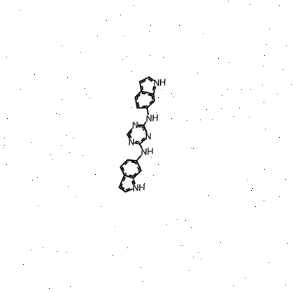 c1nc(Nc2ccc3cc[nH]c3c2)nc(Nc2ccc3cc[nH]c3c2)n1